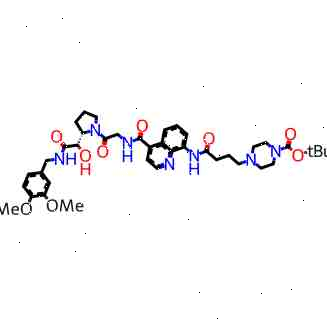 COc1ccc(CNC(=O)C(O)[C@@H]2CCCN2C(=O)CNC(=O)c2ccnc3c(NC(=O)CCCN4CCN(C(=O)OC(C)(C)C)CC4)cccc23)cc1OC